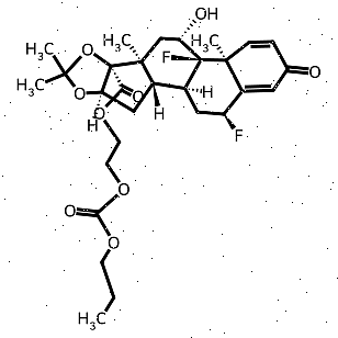 CCCOC(=O)OCCOC(=O)[C@@]12OC(C)(C)O[C@@H]1C[C@H]1[C@@H]3C[C@H](F)C4=CC(=O)C=C[C@]4(C)[C@@]3(F)[C@@H](O)C[C@@]12C